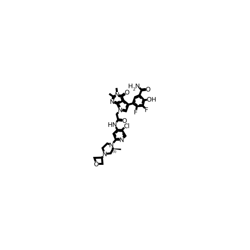 Cc1nc2c(c(-c3cc(C(N)=O)c(O)c(F)c3F)cn2CC(=O)Nc2cc(N3CCN(C4COC4)C[C@@H]3C)ncc2Cl)c(=O)n1C